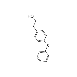 OCCc1ccc(Sc2ccccc2)cc1